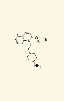 Cl.Cl.NC1CCN(CCn2c(=O)ccc3ncccc32)CC1